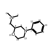 CN(C)CC1CN(c2ccccc2)CCO1